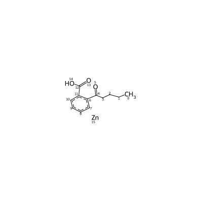 CCCCC(=O)c1ccccc1C(=O)O.[Zn]